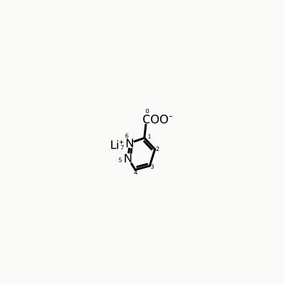 O=C([O-])c1cccnn1.[Li+]